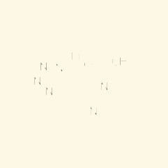 Cc1cccc2ncc(-c3nnnn3C(C)C)c(=O)n12